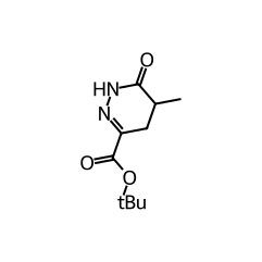 CC1CC(C(=O)OC(C)(C)C)=NNC1=O